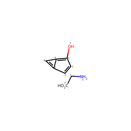 NCC(=O)O.Oc1ccc2cc1-2